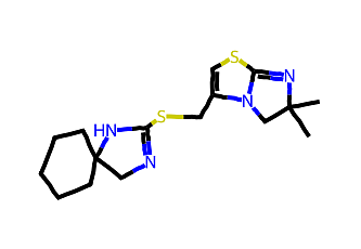 CC1(C)CN2C(CSC3=NCC4(CCCCC4)N3)=CSC2=N1